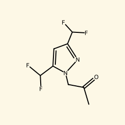 CC(=O)Cn1nc(C(F)F)cc1C(F)F